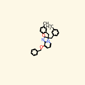 Cc1cccc(CC2(Cc3cccc(C)c3)C(=O)N=C3C(OCc4ccccc4)=CC=CN32)c1